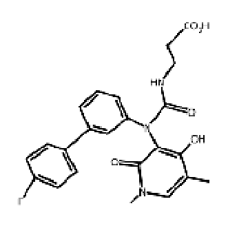 Cc1cn(C)c(=O)c(N(C(=O)NCCC(=O)O)c2cccc(-c3ccc(F)cc3)c2)c1O